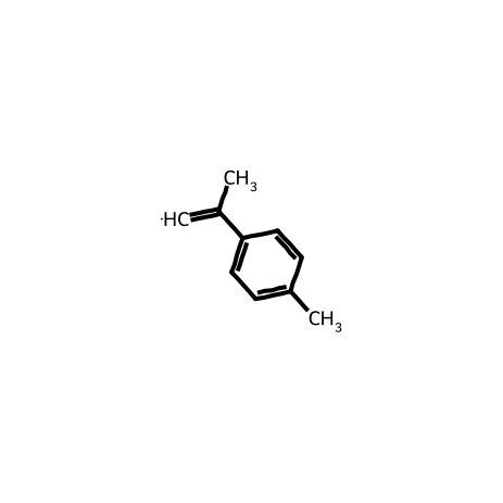 [CH]=C(C)c1ccc(C)cc1